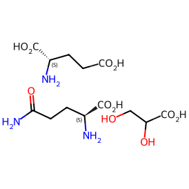 NC(=O)CC[C@H](N)C(=O)O.N[C@@H](CCC(=O)O)C(=O)O.O=C(O)C(O)CO